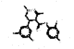 CNCC(c1cc(F)cc(F)c1)C(C(C)=O)C(=O)Nc1ccc(F)cc1F